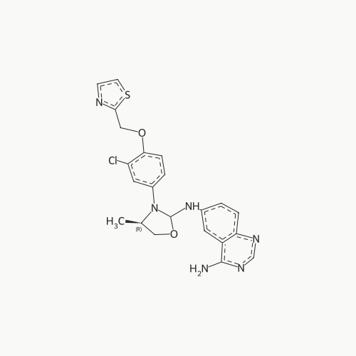 C[C@@H]1COC(Nc2ccc3ncnc(N)c3c2)N1c1ccc(OCc2nccs2)c(Cl)c1